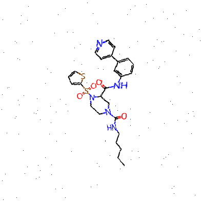 CCCCCNC(=O)N1CCN(S(=O)(=O)c2cccs2)C(C(=O)Nc2cccc(-c3ccncc3)c2)C1